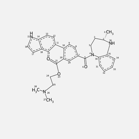 C[C@H]1CCN(C(=O)c2ccc(-c3ccc4[nH]ccc4c3)c(C(=O)OCCN(C)C)c2)c2ccccc2N1